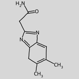 CC1=C(C)CC2=NC(CC(N)=O)=NC2=C1